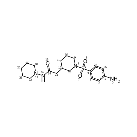 Nc1ccc(S(=O)(=O)N2CCCC(CC(=O)NN3CCCCC3)C2)cc1